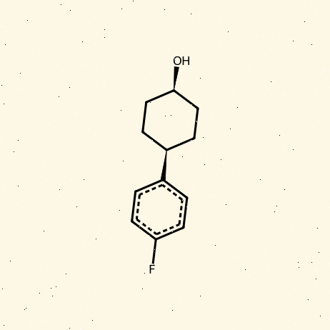 O[C@H]1CC[C@@H](c2ccc(F)cc2)CC1